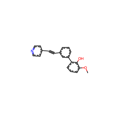 COc1cccc(-c2cccc(C#Cc3ccncc3)c2)c1O